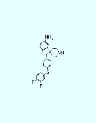 Cc1ccc(N)cc1C1(Cc2ccc(Sc3ccc(F)c(F)c3)cc2)CCNCC1